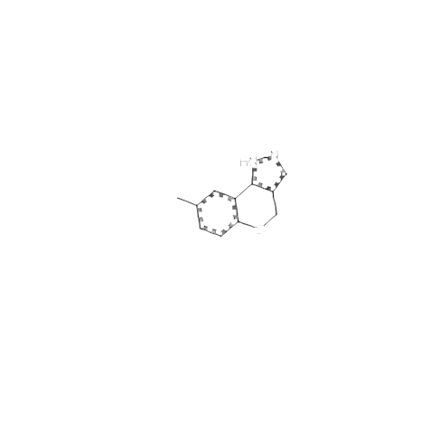 Cc1ccc2c(c1)-c1[nH]ncc1CS2